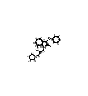 Cc1c(Sc2ccccc2)c2cccc3c2n1CC(CN1CCCC1)O3